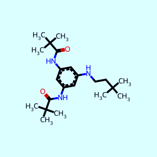 CC(C)(C)CCNc1cc(NC(=O)C(C)(C)C)cc(NC(=O)C(C)(C)C)c1